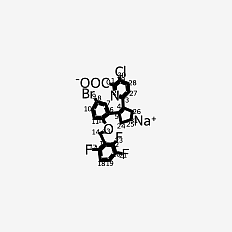 O=C([O-])c1nc(C2=C(c3cc(Br)ccc3OCc3c(F)ccc(F)c3F)CCC2)ccc1Cl.[Na+]